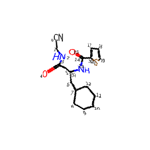 N#CCNC(=O)[C@H](CC1CCCCC1)NC(=O)c1cccs1